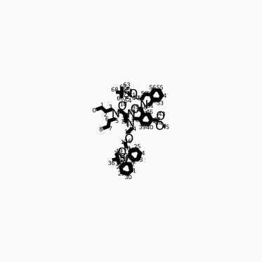 CCCCN(CCCC)C(=O)c1cn(CCOCCO[Si](c2ccccc2)(c2ccccc2)C(C)(C)C)c(-c2ccc(C(=O)OC)cc2C(=O)N2Cc3ccccc3C[C@H]2CO[Si](C)(C)C(C)(C)C)n1